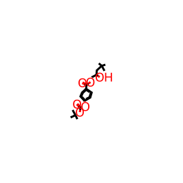 CC(C)(C)CC(O)COC(=O)c1ccc(OC(=O)OC(C)(C)C)cc1